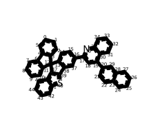 c1ccc2c(c1)-c1ccccc1C21c2ccc(-c3cc(-c4ccc5ccccc5c4)c4ccccc4n3)cc2-c2sc3ccccc3c21